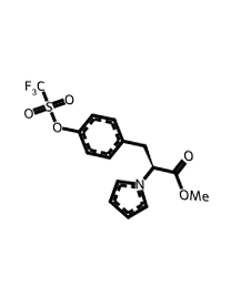 COC(=O)[C@H](Cc1ccc(OS(=O)(=O)C(F)(F)F)cc1)n1cccc1